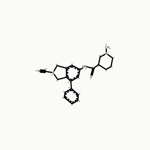 CN1CCCC(C(=O)Nc2cc3c(c(-c4ccccc4)c2)CN(C#N)C3)C1